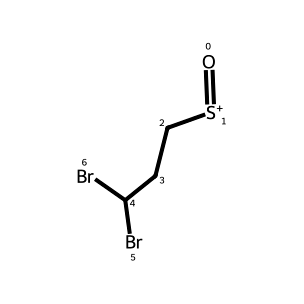 O=[S+]CCC(Br)Br